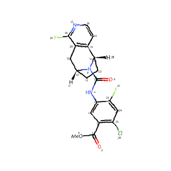 COC(=O)c1cc(NC(=O)N2[C@@H]3CC[C@H]2c2ccnc(F)c2C3)c(F)cc1Cl